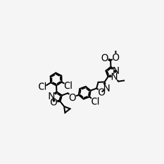 CCn1nc(C(=O)OC)cc1C1=NOC(c2ccc(OCc3c(-c4c(Cl)cccc4Cl)noc3C3CC3)cc2Cl)C1